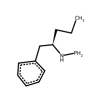 CCC[C@H](Cc1ccccc1)NP